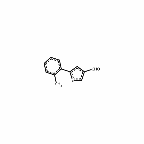 Cc1ccccc1-c1cc(C=O)cs1